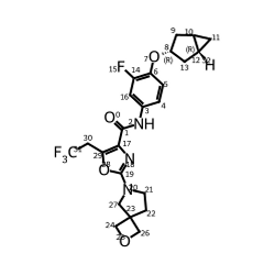 O=C(Nc1ccc(O[C@@H]2CC3C[C@@H]3C2)c(F)c1)c1nc(N2CCC3(COC3)C2)oc1CC(F)(F)F